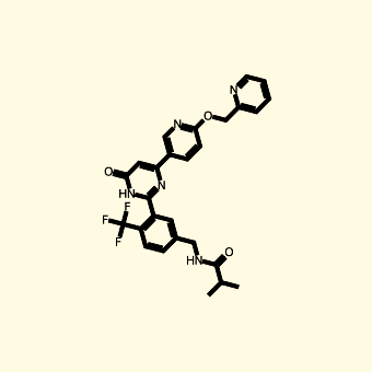 CC(C)C(=O)NCc1ccc(C(F)(F)F)c(-c2nc(-c3ccc(OCc4ccccn4)nc3)cc(=O)[nH]2)c1